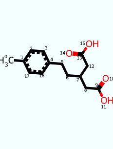 Cc1ccc(CCC(CC(=O)O)CC(=O)O)cc1